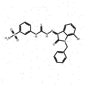 NS(=O)(=O)c1cccc(NC(=S)NN=C2C(=O)N(Cc3ccccc3)c3c(Br)cccc32)c1